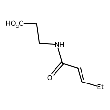 CCC=CC(=O)NCCC(=O)O